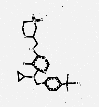 CC(F)(F)c1ccc(CN(c2ncnc(NCC3CS(=O)(=O)CCO3)c2F)C2CC2)cc1